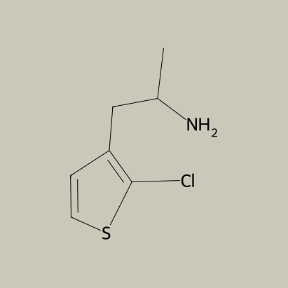 CC(N)Cc1ccsc1Cl